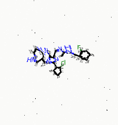 C=C(/N=C\c1nc(-c2ccccc2Cl)n(CC2CCCNC2)c1N)NCc1ccccc1F